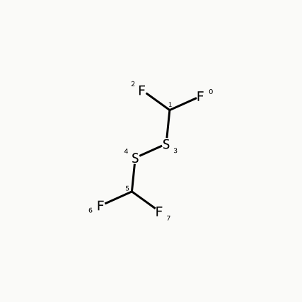 FC(F)SSC(F)F